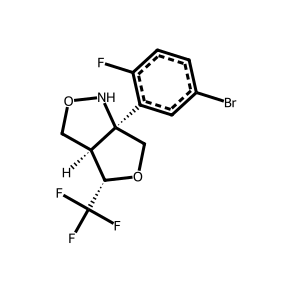 Fc1ccc(Br)cc1[C@]12CO[C@H](C(F)(F)F)[C@H]1CON2